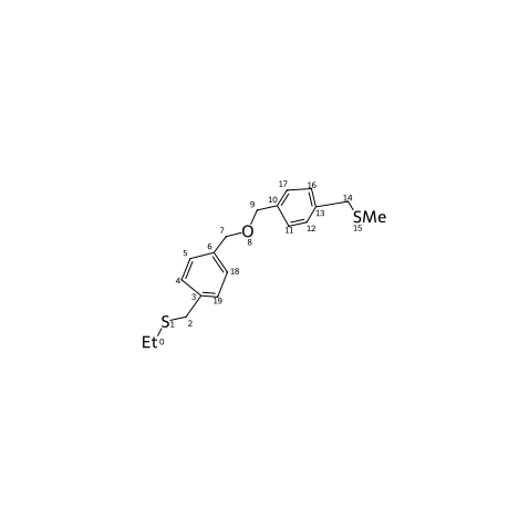 CCSCc1ccc(COCc2ccc(CSC)cc2)cc1